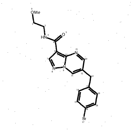 COCCNC(=O)c1cnn2cc(Cc3ccc(Br)cc3)cnc12